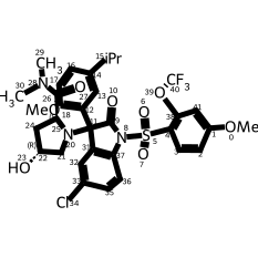 COc1ccc(S(=O)(=O)N2C(=O)C(c3cc(C(C)C)ccc3OC)(N3C[C@H](O)C[C@H]3C(=O)N(C)C)c3cc(Cl)ccc32)c(OC(F)(F)F)c1